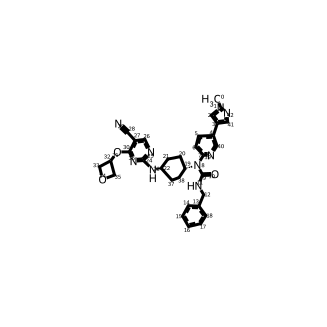 Cn1cc(-c2ccc(N(C(=O)NCc3ccccc3)[C@H]3CC[C@H](Nc4ncc(C#N)c(OC5COC5)n4)CC3)nc2)cn1